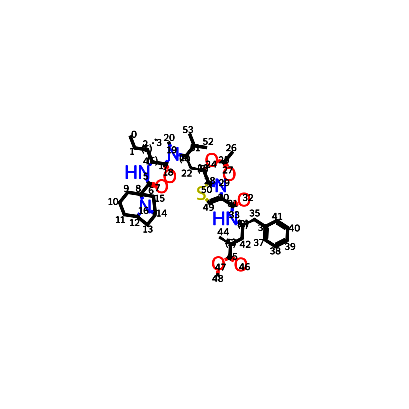 CC[C@H](C)[C@H](NC(=O)C12CCCC3CC(C1)N32)C(=O)N(C)[C@H](C[C@@H](OC(C)=O)c1nc(C(=O)N[C@@H](Cc2ccccc2)C[C@H](C)C(=O)OC)cs1)C(C)C